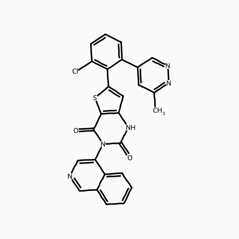 Cc1cc(-c2cccc(Cl)c2-c2cc3[nH]c(=O)n(-c4cncc5ccccc45)c(=O)c3s2)cnn1